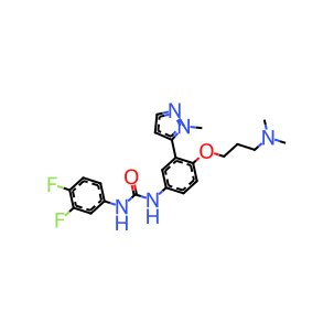 CN(C)CCCOc1ccc(NC(=O)Nc2ccc(F)c(F)c2)cc1-c1ccnn1C